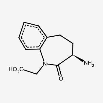 N[C@@H]1CCc2ccccc2N(CC(=O)O)C1=O